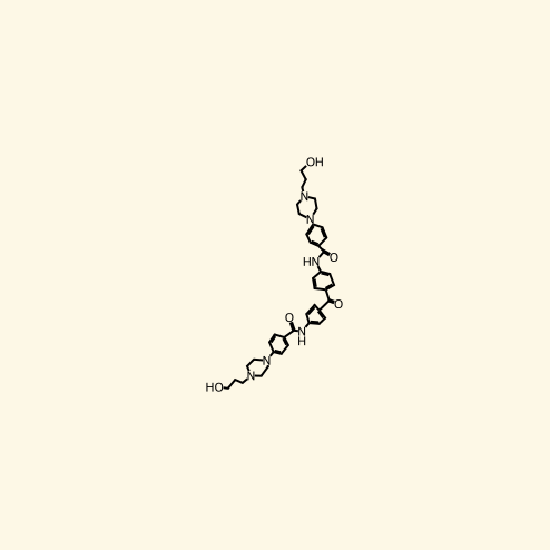 O=C(Nc1ccc(C(=O)c2ccc(NC(=O)c3ccc(N4CCN(CCCO)CC4)cc3)cc2)cc1)c1ccc(N2CCN(CCCO)CC2)cc1